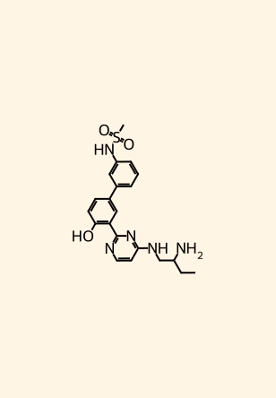 CCC(N)CNc1ccnc(-c2cc(-c3cccc(NS(C)(=O)=O)c3)ccc2O)n1